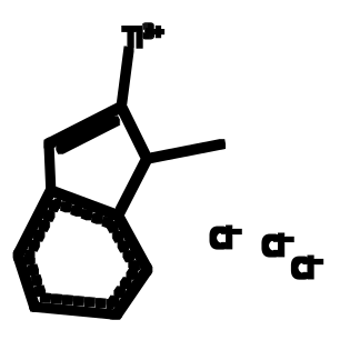 CC1[C]([Ti+3])=Cc2ccccc21.[Cl-].[Cl-].[Cl-]